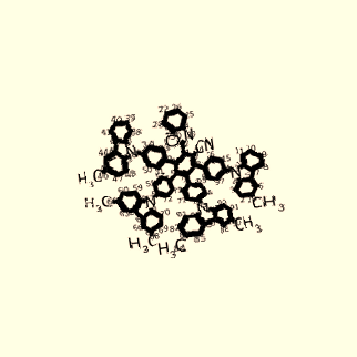 Cc1ccc2c(c1)c1ccccc1n2-c1ccc(-c2c(C#N)c(-c3nc4ccccc4o3)c(-c3ccc(-n4c5ccccc5c5cc(C)ccc54)cc3)c(-c3ccc(-n4c5ccc(C)cc5c5cc(C)ccc54)cc3)c2-c2ccc(-n3c4ccc(C)cc4c4cc(C)ccc43)cc2)cc1